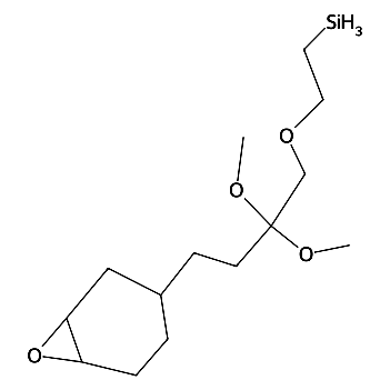 COC(CCC1CCC2OC2C1)(COCC[SiH3])OC